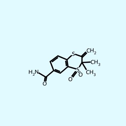 C=C1Sc2ccc(C(N)=O)cc2S(=O)(=O)C1(C)C